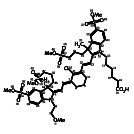 COCCN1/C(=C/C=C2\CCCC(/C=C/C3=[N+](CCCCCC(=O)O)c4ccc(S(=O)(=O)OC)cc4C3(C)CCCS(=O)(=O)OC)=C2Cl)C(C)(CCCS(=O)(=O)OC)c2cc(S(=O)(=O)OC)ccc21